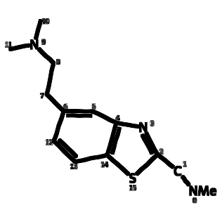 CNCc1nc2cc(CCN(C)C)ccc2s1